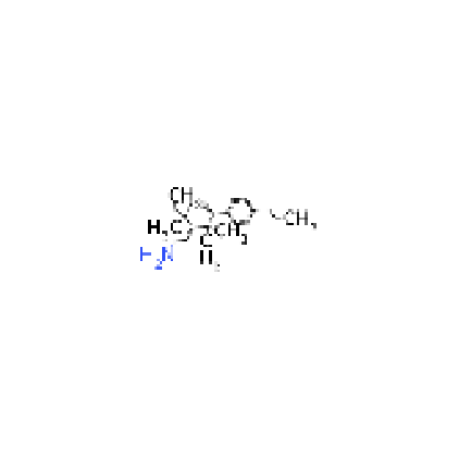 C=CCc1ccc(C2=CC[C@](C)(CC)/C(=C\CN)C2(C)C)cc1